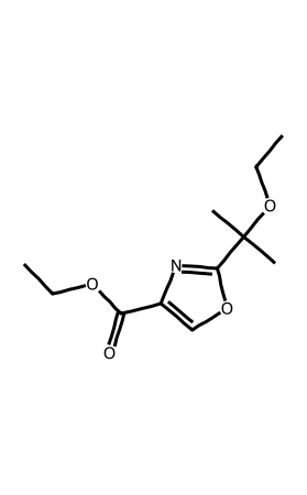 CCOC(=O)c1coc(C(C)(C)OCC)n1